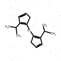 CC(C)C1=[C]([Zn][C]2=C(C(C)C)C=CC2)CC=C1